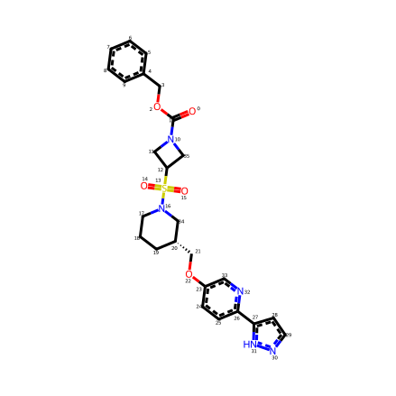 O=C(OCc1ccccc1)N1CC(S(=O)(=O)N2CCC[C@@H](COc3ccc(-c4ccn[nH]4)nc3)C2)C1